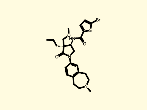 CCC[C@@]1(COC)C(=O)N(c2ccc3c(c2)CCN(C)CC3)C[C@@H]1NC(=O)c1ccc(Br)s1